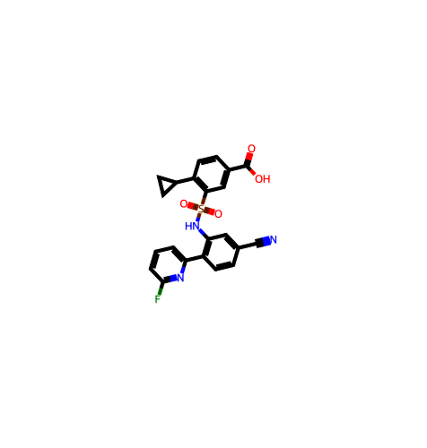 N#Cc1ccc(-c2cccc(F)n2)c(NS(=O)(=O)c2cc(C(=O)O)ccc2C2CC2)c1